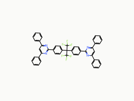 FC(F)(F)C(c1ccc(-c2nc(-c3ccccc3)cc(-c3ccccc3)n2)cc1)(c1ccc(-c2nc(-c3ccccc3)cc(-c3ccccc3)n2)cc1)C(F)(F)F